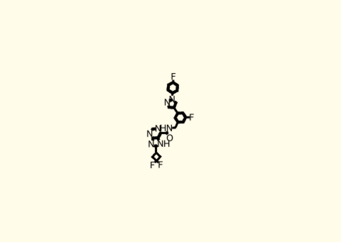 O=C(NCc1cc(F)cc(-c2cnn(-c3ccc(F)cc3)c2)c1)c1ncnc2nc(C3CC(F)(F)C3)[nH]c12